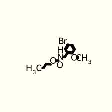 CCCCOC(=O)NCc1cc(Br)ccc1OC